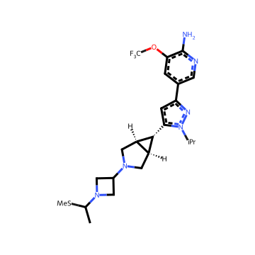 CSC(C)N1CC(N2C[C@@H]3[C@H](C2)[C@H]3c2cc(-c3cnc(N)c(OC(F)(F)F)c3)nn2C(C)C)C1